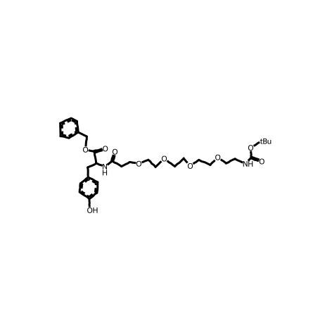 CC(C)(C)OC(=O)NCCOCCOCCOCCOCCC(=O)NC(Cc1ccc(O)cc1)C(=O)OCc1ccccc1